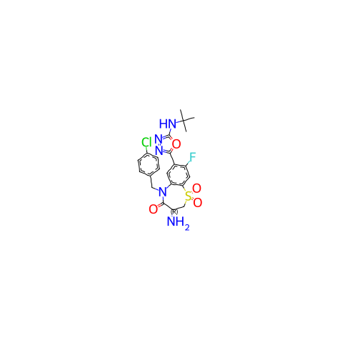 CC(C)(C)Nc1nnc(-c2cc3c(cc2F)S(=O)(=O)C[C@H](N)C(=O)N3Cc2ccc(Cl)cc2)o1